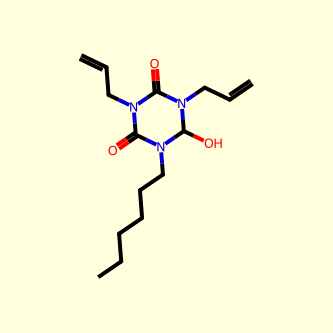 C=CCN1C(=O)N(CC=C)C(O)N(CCCCCC)C1=O